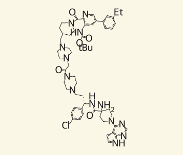 CCc1cccc(-c2cnc(C(=O)N3CCC(CN4CCN(CC(=O)N5CCN(CC[C@H](NC(=O)C6(N)CCN(c7ncnc8[nH]ccc78)CC6)c6ccc(Cl)cc6)CC5)CC4)CC3)c(NC(=O)OC(C)(C)C)c2)c1